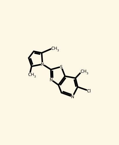 Cc1c(Cl)ncc2nc(-n3c(C)ccc3C)sc12